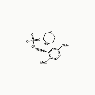 C1COCCN1.COc1ccc(OC)c([N+]#N)c1.O=S(=O)([O-])C(F)(F)F